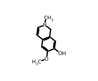 COc1cc2c(cc1O)CN(C)C=C2